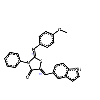 COc1ccc(/N=C2\S/C(=C\c3ccc4[nH]ccc4c3)C(=O)N2c2ccccc2)cc1